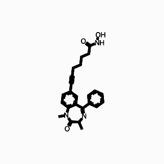 CC1N=C(c2ccccc2)c2cc(C#CCCCCC(=O)NO)ccc2N(C)C1=O